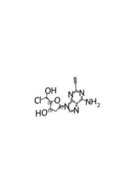 C#Cc1nc(N)c2ncn([C@H]3C[C@H](O)[C@@H](C(O)Cl)O3)c2n1